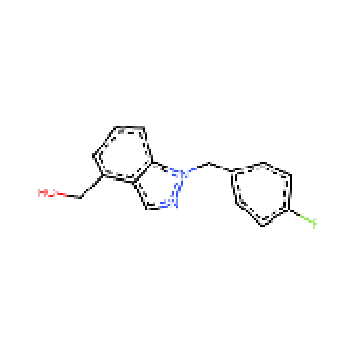 OCc1cccc2c1cnn2Cc1ccc(F)cc1